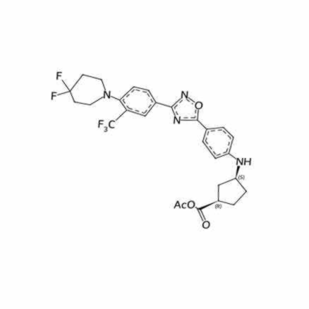 CC(=O)OC(=O)[C@@H]1CC[C@H](Nc2ccc(-c3nc(-c4ccc(N5CCC(F)(F)CC5)c(C(F)(F)F)c4)no3)cc2)C1